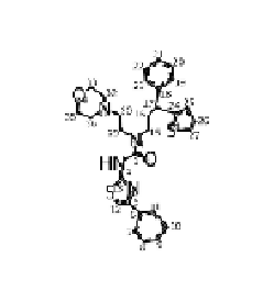 O=C(Nc1nc(-c2ccccc2)cs1)N(CCC(c1ccccc1)c1cccs1)CCN1CCOCC1